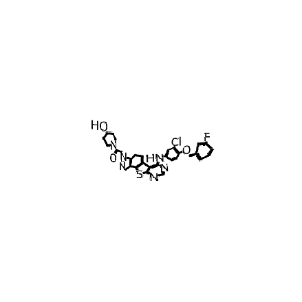 O=C(Cn1ncc2c1CCc1c-2sc2ncnc(Nc3ccc(OCc4cccc(F)c4)c(Cl)c3)c12)N1CCC(O)CC1